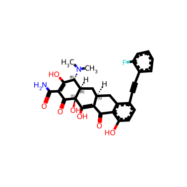 CN(C)[C@H]1C(O)=C(C(N)=O)C(=O)[C@@]2(O)C(O)=C3C(=O)c4c(O)ccc(C#Cc5ccccc5F)c4C[C@@H]3C[C@H]12